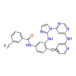 Cc1ccc(NC(=O)c2cccc(C(F)(F)F)c2)cc1Nc1nccn1-c1cc(Nc2ccccn2)ncn1